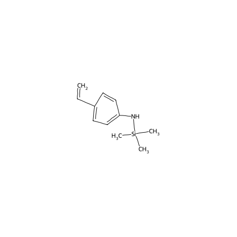 C=Cc1ccc(N[Si](C)(C)C)cc1